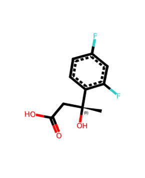 C[C@@](O)(CC(=O)O)c1ccc(F)cc1F